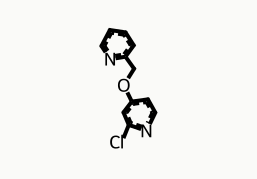 Clc1cc(OCc2ccccn2)ccn1